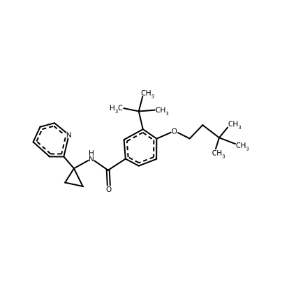 CC(C)(C)CCOc1ccc(C(=O)NC2(c3ccccn3)CC2)cc1C(C)(C)C